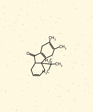 CC1=C(C)CC2=C(C1)C(=O)C1CC=CCC21C(C)(C)C